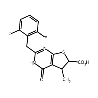 CC1c2c(nc(Cc3c(F)cccc3F)[nH]c2=O)SC1C(=O)O